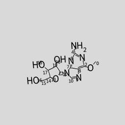 COc1nc(N)nc2c1ncn2[C@@H]1OC(CO)C(O)C1O